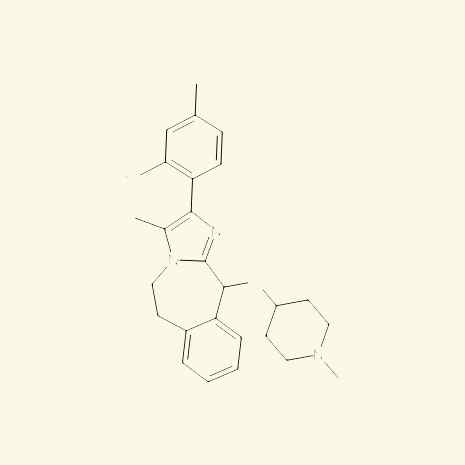 Cc1ccc(-c2nc3n(c2C)CCc2ccccc2C3OC2CCN(C)CC2)c(Cl)c1